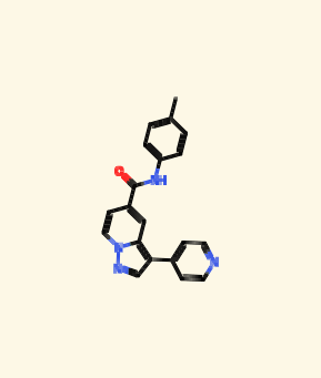 Cc1ccc(NC(=O)c2ccn3ncc(-c4ccncc4)c3c2)cc1